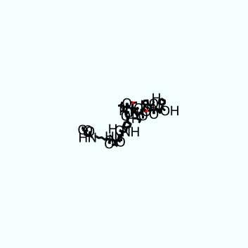 CCC(C)C(C(CC(=O)N1CCCC1C(OC)C(C)C(=O)NC(C)C(O)c1ccccc1)OC)N(C)C(=O)[C@@H](NC(=O)C(C(C)C)N(C)C(=O)OCc1ccc(NC(=O)CNC(=O)C(NC(=O)CCCCCNC(=O)/C=C\C(=O)OC)C(C)C)cc1)C(C)C